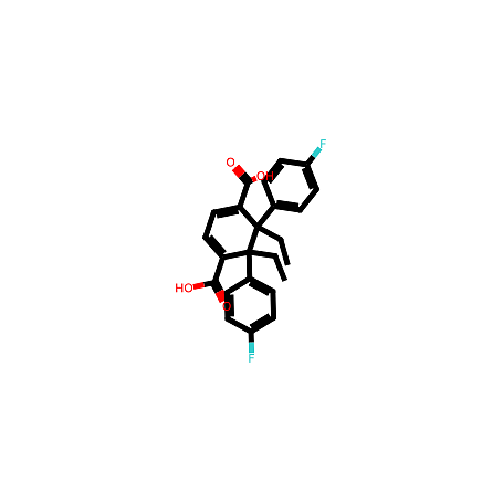 CCC1(c2ccc(F)cc2)C(C(=O)O)=CC=C(C(=O)O)C1(CC)c1ccc(F)cc1